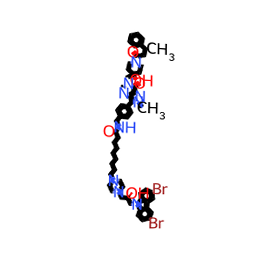 C[C@H](CC(=O)N1CCC(O)(Cn2cnc3c(-c4ccc(CNC(=O)CCCCCCCCN5CCN(C[C@@H](O)Cn6c7ccc(Br)cc7c7cc(Br)ccc76)CC5)cc4)n(C)nc3c2=O)CC1)c1ccccc1